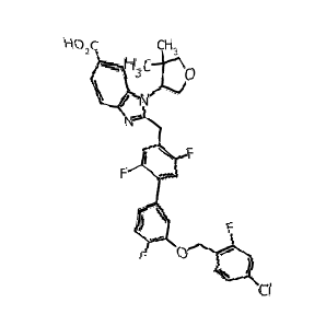 CC1(C)COCC1n1c(Cc2cc(F)c(-c3ccc(F)c(OCc4ccc(Cl)cc4F)c3)cc2F)nc2ccc(C(=O)O)cc21